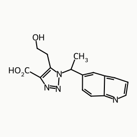 CC(c1ccc2ncccc2c1)n1nnc(C(=O)O)c1CCO